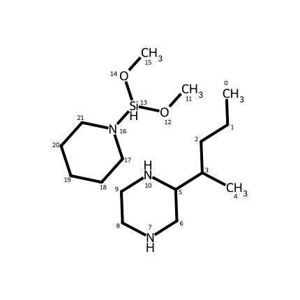 CCCC(C)C1CNCCN1.CO[SiH](OC)N1CCCCC1